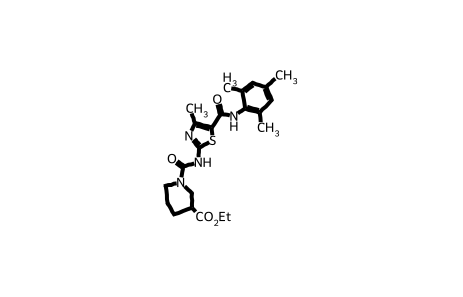 CCOC(=O)C1CCCN(C(=O)Nc2nc(C)c(C(=O)Nc3c(C)cc(C)cc3C)s2)C1